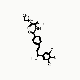 C=C(NC(=O)c1ccc(/C=C/C(c2cc(Cl)c(Cl)c(Cl)c2)C(F)(F)F)cc1)C(=O)NCC(F)(F)F